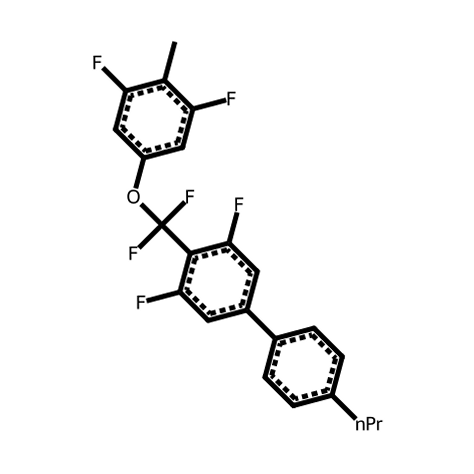 CCCc1ccc(-c2cc(F)c(C(F)(F)Oc3cc(F)c(C)c(F)c3)c(F)c2)cc1